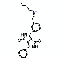 CCCC/C=C\Cc1cccc(C2=C3C(=O)NC(c4ccccc4)=C3C(=O)N2)c1